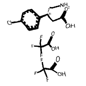 NC[C@H](CC(=O)O)c1ccc(Cl)cc1.O=C(O)C(F)(F)F.O=C(O)C(F)(F)F